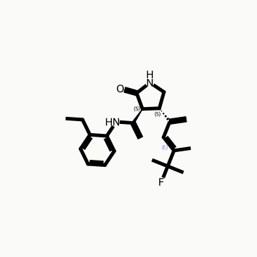 C=C(Nc1ccccc1CC)[C@H]1C(=O)NC[C@@H]1C(=C)/C=C(\C)C(C)(C)F